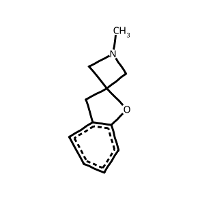 CN1CC2(Cc3ccccc3O2)C1